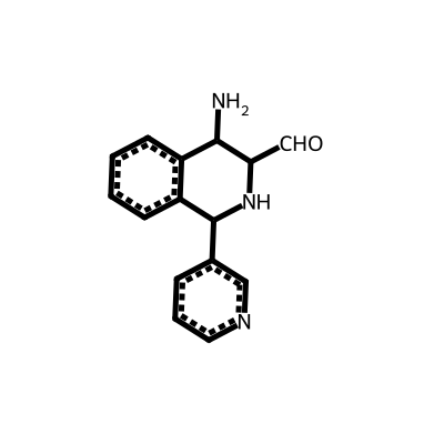 NC1c2ccccc2C(c2cccnc2)NC1C=O